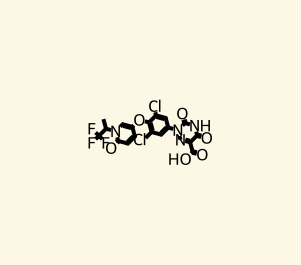 CC(n1cc(Oc2c(Cl)cc(-n3nc(C(=O)O)c(=O)[nH]c3=O)cc2Cl)ccc1=O)C(F)(F)F